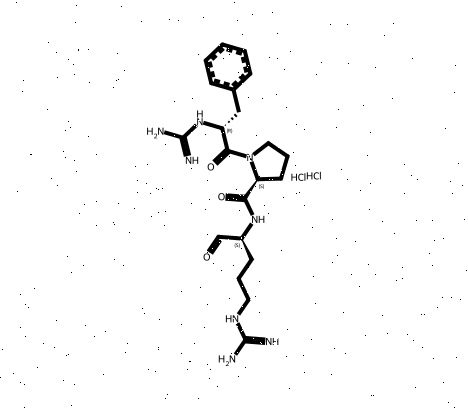 Cl.Cl.N=C(N)NCCC[C@@H](C=O)NC(=O)[C@@H]1CCCN1C(=O)[C@@H](Cc1ccccc1)NC(=N)N